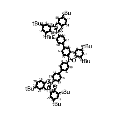 CC(C)(C)c1ccc(OP(c2ccc(-c3ccc(P(=O)(Oc4ccc(C(C)(C)C)cc4C(C)(C)C)Oc4ccc(C(C)(C)C)cc4C(C)(C)C)cc3)cc2)c2ccc(-c3ccc(P(=O)(Oc4ccc(C(C)(C)C)cc4C(C)(C)C)Oc4ccc(C(C)(C)C)cc4C(C)(C)C)cc3)cc2)c(C(C)(C)C)c1